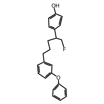 Oc1ccc(C(CF)CCCc2cccc(Oc3ccccc3)c2)cc1